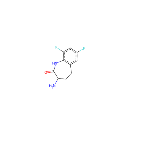 NC1CCc2cc(F)cc(F)c2NC1=O